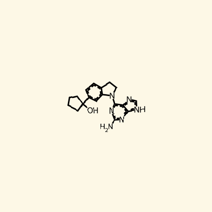 Nc1nc(N2CCc3ccc(C4(O)CCCC4)cc32)c2nc[nH]c2n1